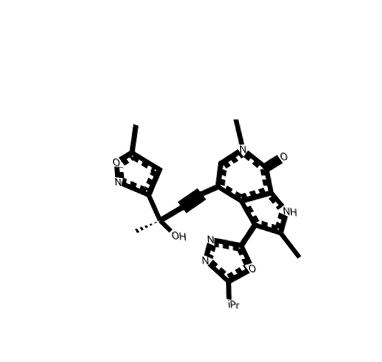 Cc1cc([C@](C)(O)C#Cc2cn(C)c(=O)c3[nH]c(C)c(-c4nnc(C(C)C)o4)c23)no1